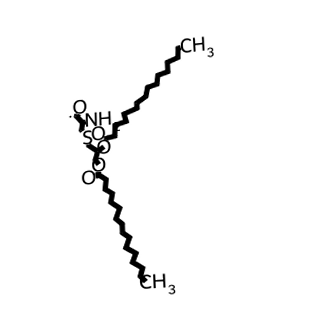 CCCCCCCCCCCCCCCC(=O)OCC(CSCC(N)[C]=O)OC(=O)CCCCCCCCCCCCCCC